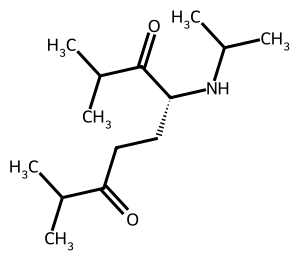 CC(C)N[C@H](CCC(=O)C(C)C)C(=O)C(C)C